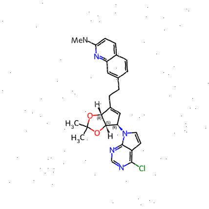 CNc1ccc2ccc(CCC3=C[C@@H](n4ccc5c(Cl)ncnc54)[C@@H]4OC(C)(C)O[C@H]34)cc2n1